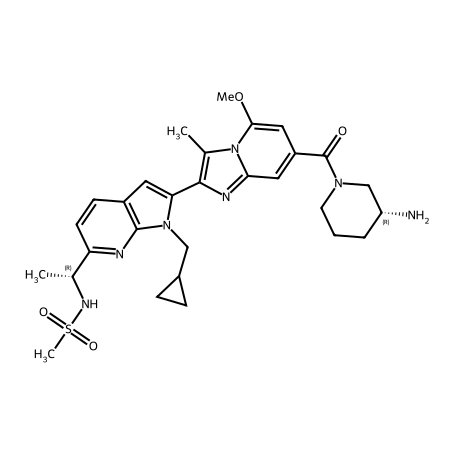 COc1cc(C(=O)N2CCC[C@@H](N)C2)cc2nc(-c3cc4ccc([C@@H](C)NS(C)(=O)=O)nc4n3CC3CC3)c(C)n12